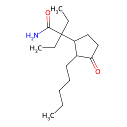 CCCCCC1C(=O)CCC1C(CC)(CC)C(N)=O